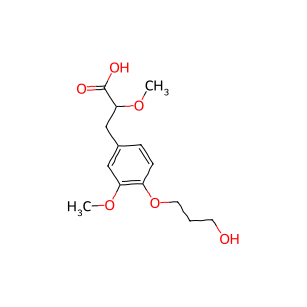 COc1cc(CC(OC)C(=O)O)ccc1OCCCO